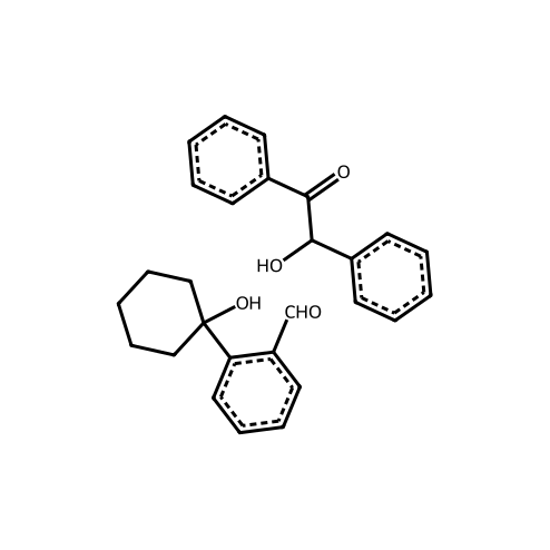 O=C(c1ccccc1)C(O)c1ccccc1.O=Cc1ccccc1C1(O)CCCCC1